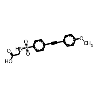 COc1ccc(C#Cc2ccc(S(=O)(=O)NCC(=O)O)cc2)cc1